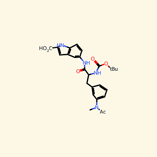 CC(=O)N(C)c1cccc(CC(NC(=O)OC(C)(C)C)C(=O)Nc2ccc3[nH]c(C(=O)O)cc3c2)c1